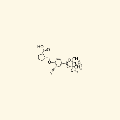 CC1(C)OB(c2ccc(OC[C@@H]3CCCN3C(=O)O)c(C#N)c2)OC1(C)C